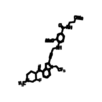 COCCNC(=O)c1ccc(NCC#Cc2cc3c(N[C@@H]4CCN(C)C[C@@H]4F)cccc3n2CC(F)(F)F)c(OC)c1